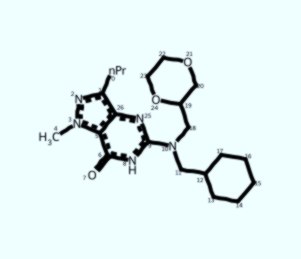 CCCc1nn(C)c2c(=O)[nH]c(N(CC3CCCCC3)CC3COCCO3)nc12